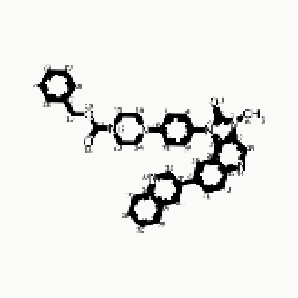 Cn1c(=O)n(-c2ccc(N3CCN(C(=O)OCc4ccccc4)CC3)cc2)c2c3cc(-c4cnc5ccccc5c4)ccc3ncc21